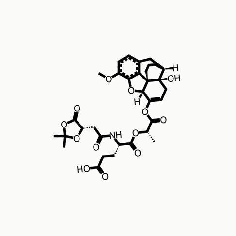 COc1ccc2c3c1O[C@H]1C(OC(=O)[C@H](C)OC(=O)[C@H](CCC(=O)O)NC(=O)C[C@@H]4OC(C)(C)OC4=O)=CC[C@@]4(O)[C@H](CCC[C@]314)C2